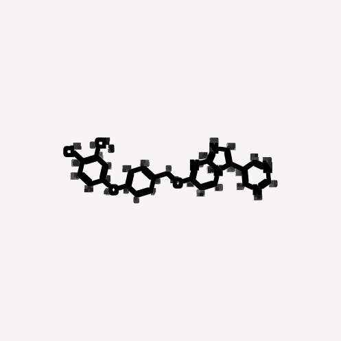 FC(F)(F)c1cc(Oc2ccc(COc3ccn4c(-c5cncnc5)cnc4n3)cc2)ccc1Cl